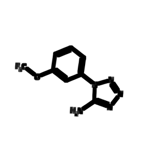 Nc1nnnn1-c1cccc(OC(F)(F)F)c1